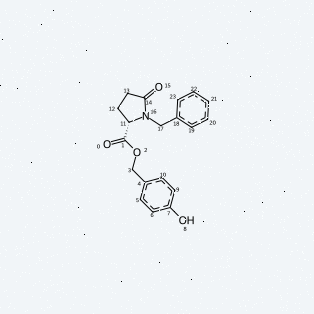 O=C(OCc1ccc(O)cc1)[C@@H]1CCC(=O)N1Cc1ccccc1